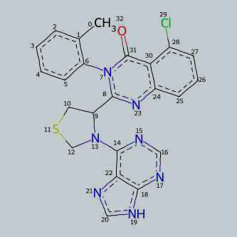 Cc1ccccc1-n1c(C2CSCN2c2ncnc3[nH]cnc23)nc2cccc(Cl)c2c1=O